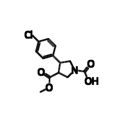 COC(=O)C1CN(C(=O)O)CC1c1ccc(Cl)cc1